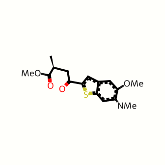 CNc1cc2sc(C(=O)C[C@H](C)C(=O)OC)cc2cc1OC